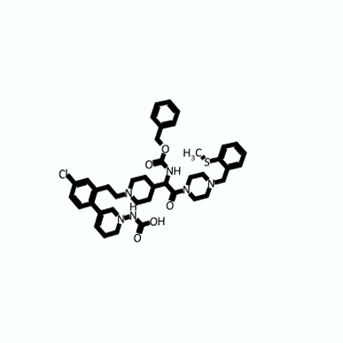 CSc1ccccc1CN1CCN(C(=O)C(NC(=O)OCc2ccccc2)C2CCN(CCc3cc(Cl)ccc3C3=CCCN(NC(=O)O)C3)CC2)CC1